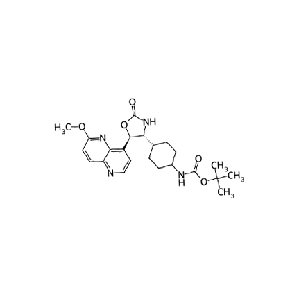 COc1ccc2nccc([C@H]3OC(=O)N[C@@H]3C3CCC(NC(=O)OC(C)(C)C)CC3)c2n1